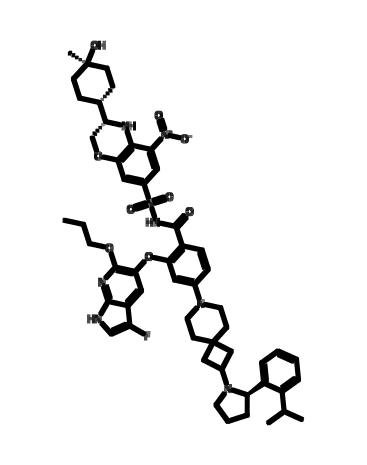 CCCOc1nc2[nH]cc(F)c2cc1Oc1cc(N2CCC3(CC2)CC(N2CCC[C@@H]2c2ccccc2C(C)C)C3)ccc1C(=O)NS(=O)(=O)c1cc2c(c([N+](=O)[O-])c1)N[C@@H]([C@H]1CC[C@](C)(O)CC1)CO2